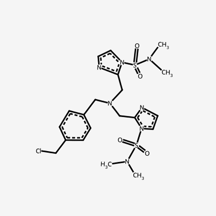 CN(C)S(=O)(=O)n1ccnc1CN(Cc1ccc(CCl)cc1)Cc1nccn1S(=O)(=O)N(C)C